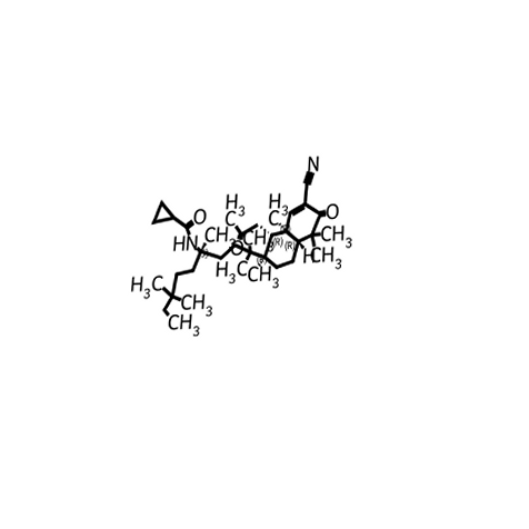 CCC(C)(C)CC[C@@](C)(CCC(C)(C)[C@]1(C)CC[C@H]2C(C)(C)C(=O)C(C#N)=C[C@]2(C)[C@H]1CC(C)=O)NC(=O)C1CC1